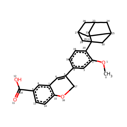 COc1cc(C2=Cc3cc(C(=O)O)ccc3OC2)ccc1C12CC3CC(CC(C3)C1)C2